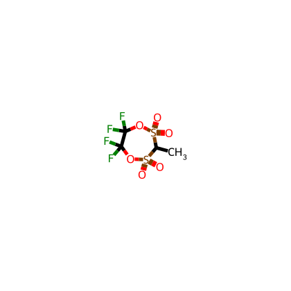 CC1S(=O)(=O)OC(F)(F)C(F)(F)OS1(=O)=O